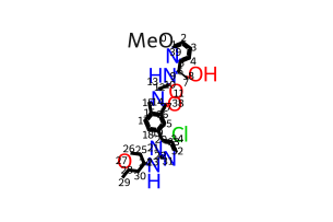 COc1cccc([C@@H](CO)NC(=O)[C@@H](C)N2Cc3ccc(-c4nc(NC5CCOC(C)C5)ncc4Cl)cc3C2=O)n1